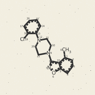 Cc1cccc2onc(N3CCN(c4ccccc4Cl)CC3)c12